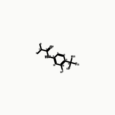 CC(C)C(=O)Nc1ccc(C(F)(F)F)c(I)c1